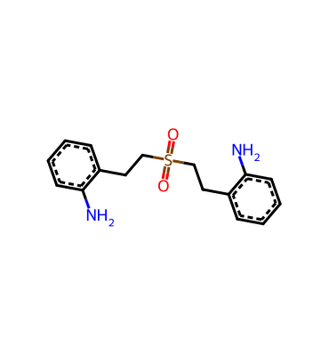 Nc1ccccc1CCS(=O)(=O)CCc1ccccc1N